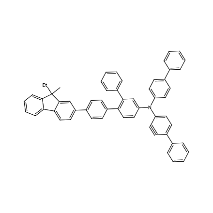 CCC1(C)c2ccccc2-c2ccc(-c3ccc(-c4ccc(N(c5c#cc(-c6ccccc6)cc5)c5ccc(-c6ccccc6)cc5)cc4-c4ccccc4)cc3)cc21